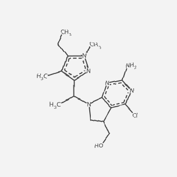 CCc1c(C)c(C(C)N2CC(CO)c3c(Cl)nc(N)nc32)nn1C